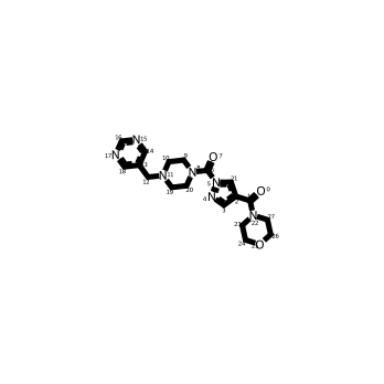 O=C(c1cnn(C(=O)N2CCN(Cc3cncnc3)CC2)c1)N1CCOCC1